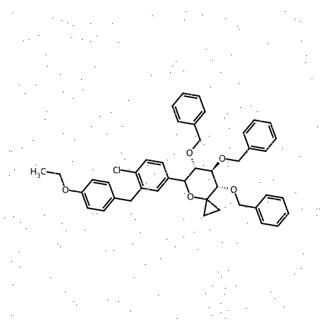 CCOc1ccc(Cc2cc(C3OC4(CC4)[C@@H](OCc4ccccc4)[C@H](OCc4ccccc4)[C@H]3OCc3ccccc3)ccc2Cl)cc1